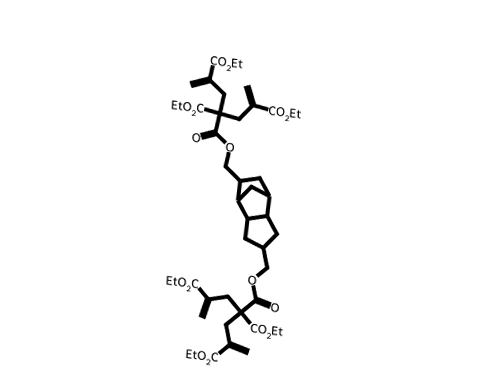 C=C(CC(CC(=C)C(=O)OCC)(C(=O)OCC)C(=O)OCC1CC2C3CC(COC(=O)C(CC(=C)C(=O)OCC)(CC(=C)C(=O)OCC)C(=O)OCC)C(C3)C2C1)C(=O)OCC